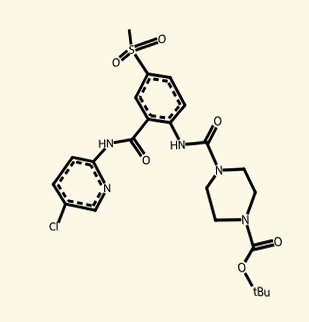 CC(C)(C)OC(=O)N1CCN(C(=O)Nc2ccc(S(C)(=O)=O)cc2C(=O)Nc2ccc(Cl)cn2)CC1